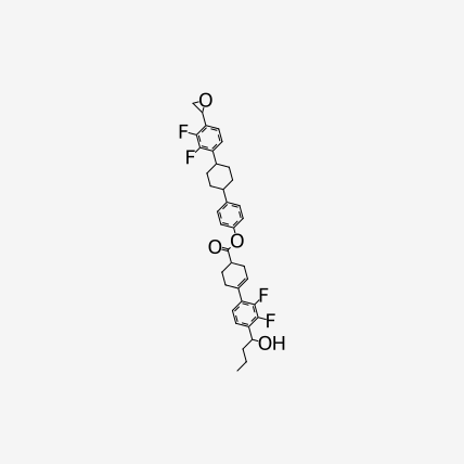 CCCC(O)c1ccc(C2=CCC(C(=O)Oc3ccc(C4CCC(c5ccc(C6CO6)c(F)c5F)CC4)cc3)CC2)c(F)c1F